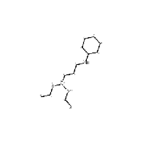 CCO[SiH](CCCNC1CCCCC1)OCC